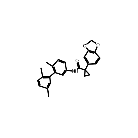 Cc1ccc(C)c(-c2cc(NC(=O)C3(c4ccc5c(c4)OCO5)CC3)ccc2C)c1